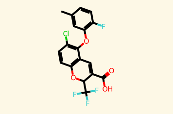 Cc1ccc(F)c(Oc2c(Cl)ccc3c2C=C(C(=O)O)C(C(F)(F)F)O3)c1